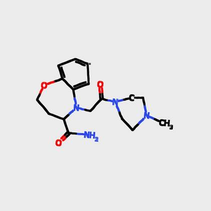 CN1CCN(C(=O)CN2c3c[c]ccc3OCCC2C(N)=O)CC1